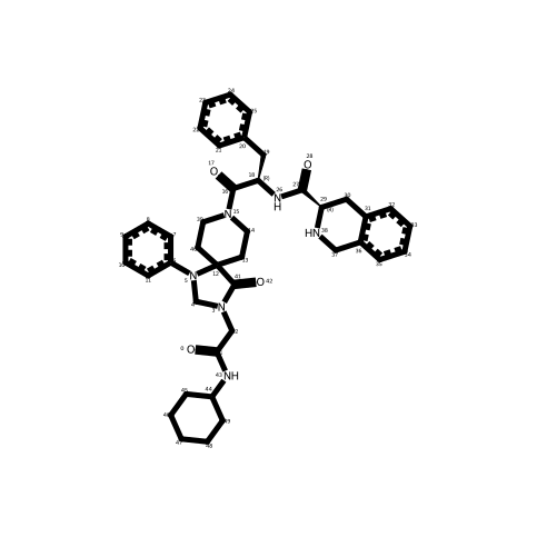 O=C(CN1CN(c2ccccc2)C2(CCN(C(=O)[C@@H](Cc3ccccc3)NC(=O)[C@H]3Cc4ccccc4CN3)CC2)C1=O)NC1CCCCC1